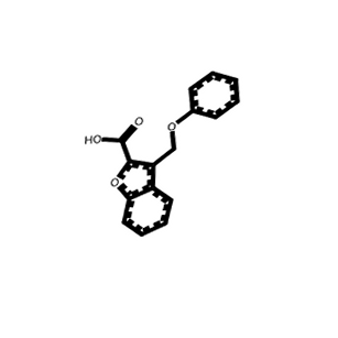 O=C(O)c1oc2ccccc2c1COc1ccccc1